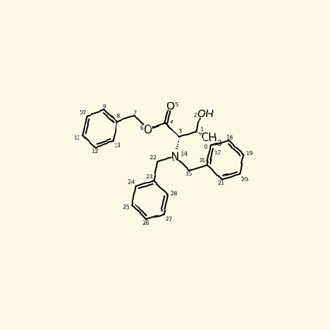 C[C@@H](O)[C@@H](C(=O)OCc1ccccc1)N(Cc1ccccc1)Cc1ccccc1